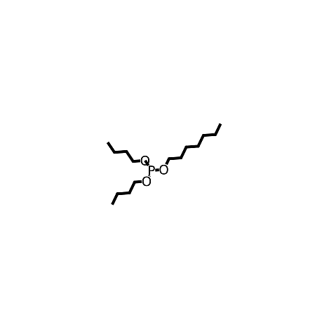 CCCCCCCOP(OCCCC)OCCCC